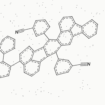 N#Cc1cccc(-c2c3cc4c5ccccc5c5cccc(c3c(-c3cccc(C#N)c3)c3c6ccc(-c7ccccc7-c7ccccc7)c7cccc(c23)c76)c54)c1